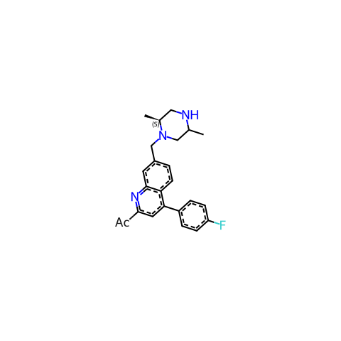 CC(=O)c1cc(-c2ccc(F)cc2)c2ccc(CN3CC(C)NC[C@@H]3C)cc2n1